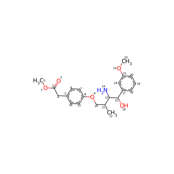 COC(=O)Cc1ccc(OCC(C)C(N)C(O)c2cccc(OC)c2)cc1